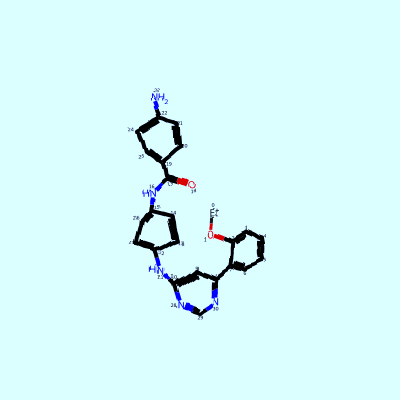 CCOc1ccccc1-c1cc(Nc2ccc(NC(=O)c3ccc(N)cc3)cc2)ncn1